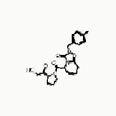 Cc1ccc(Cn2nc3n(c2=O)C(C(=O)N2CCCC2C(=O)CO)CCC3)cc1